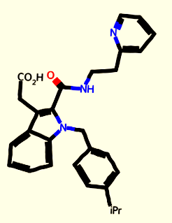 CC(C)c1ccc(Cn2c(C(=O)NCCc3ccccn3)c(CC(=O)O)c3ccccc32)cc1